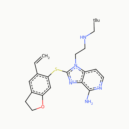 C=Cc1cc2c(cc1Sc1nc3c(N)nccc3n1CCNCC(C)(C)C)OCC2